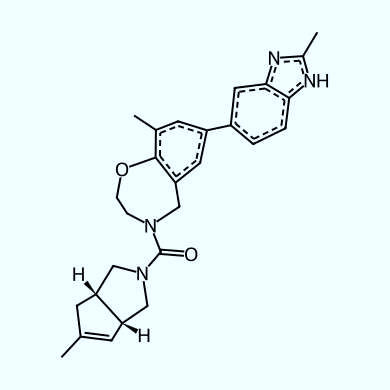 CC1=C[C@H]2CN(C(=O)N3CCOc4c(C)cc(-c5ccc6[nH]c(C)nc6c5)cc4C3)C[C@H]2C1